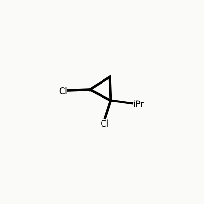 CC(C)C1(Cl)C[C]1Cl